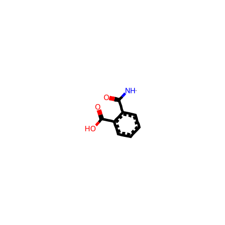 [NH]C(=O)c1ccccc1C(=O)O